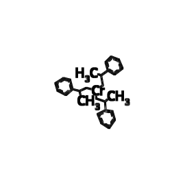 CC([CH2][Cr]([CH2]C(C)c1ccccc1)[CH2]C(C)c1ccccc1)c1ccccc1